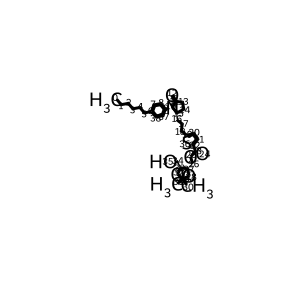 CCCCCCc1ccc(N2C(=O)CC[C@@H]2CCCc2ccc(C(=O)OC[C@@H]3OC(C)(C)O[C@H]3CO)s2)cc1